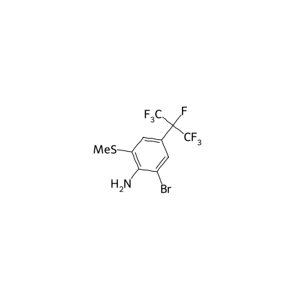 CSc1cc(C(F)(C(F)(F)F)C(F)(F)F)cc(Br)c1N